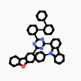 c1ccc(-c2ccccc2-c2ccccc2-c2nc(-c3ccc4oc5ccccc5c4c3)nc(-c3cccc4c5ccccc5n(-c5ccccc5)c34)n2)cc1